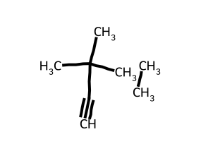 C#CC(C)(C)C.CC